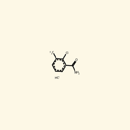 Cl.NC(=O)c1cccc(C(F)(F)F)c1Cl